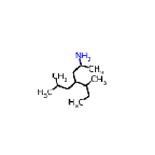 CCC(C)C(CC(C)C)CC(C)N